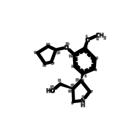 COc1ccc([C@@H]2CNC[C@H]2CO)cc1OC1CCCC1